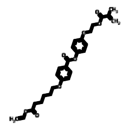 C=COC(=O)CCCCCOc1ccc(C(=O)Oc2ccc(OCCOC(=O)C(=C)C)cc2)cc1